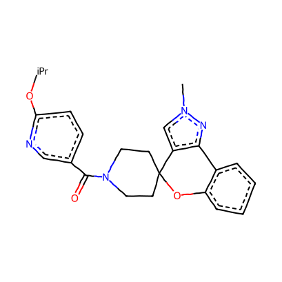 CC(C)Oc1ccc(C(=O)N2CCC3(CC2)Oc2ccccc2-c2nn(C)cc23)cn1